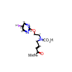 CNC(=O)/C=C/CN(CCOc1ncc(I)cn1)C(=O)O